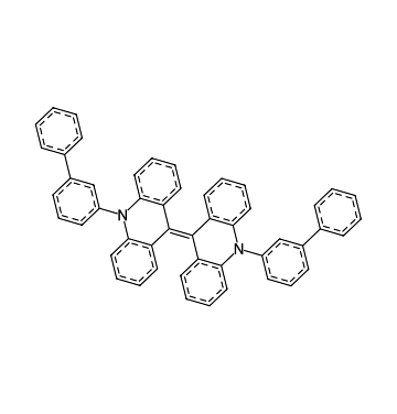 c1ccc(-c2cccc(N3c4ccccc4C(=C4c5ccccc5N(c5cccc(-c6ccccc6)c5)c5ccccc54)c4ccccc43)c2)cc1